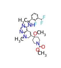 COC(=O)N1CCC(OC)(C2=Cc3c(N[C@H](C)c4cccc(C(F)F)c4F)ncnc3N(C)C2)CC1